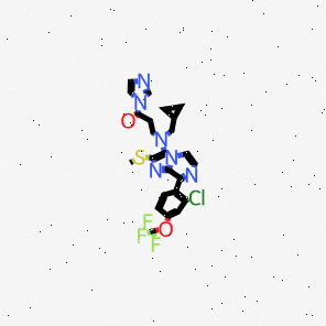 CSc1nc2c(-c3ccc(OC(F)(F)F)cc3Cl)nccn2c1N(CCC(=O)n1ccnc1)CC1CC1